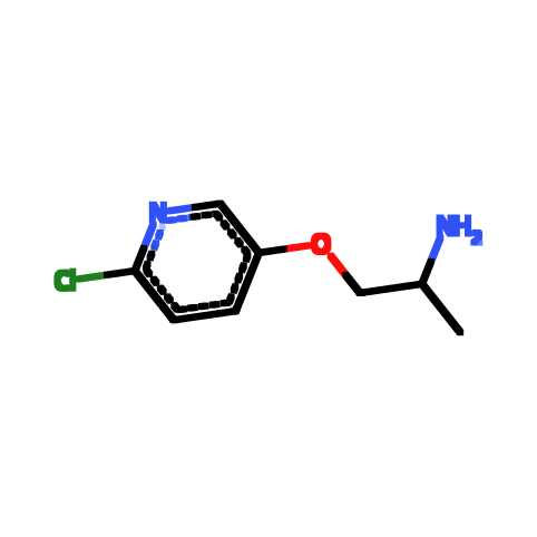 CC(N)COc1ccc(Cl)nc1